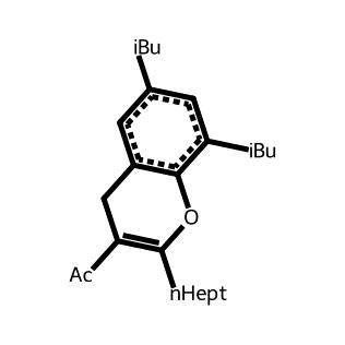 CCCCCCCC1=C(C(C)=O)Cc2cc(C(C)CC)cc(C(C)CC)c2O1